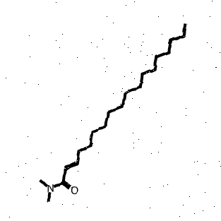 CCCCCCCCCCCCCCC/C=C/C(=O)N(C)C